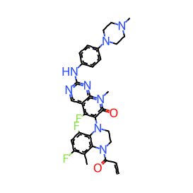 C=CC(=O)N1CCN(c2c(F)c3cnc(Nc4ccc(N5CCN(C)CC5)cc4)nc3n(C)c2=O)c2c(F)cc(F)c(C)c21